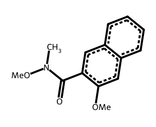 COc1cc2ccccc2cc1C(=O)N(C)OC